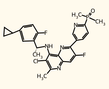 Cc1nc2cc(F)c(-c3ccc(P(C)(C)=O)nc3)nc2c(N[C@H](C)c2cc(C3CC3)ccc2F)c1Cl